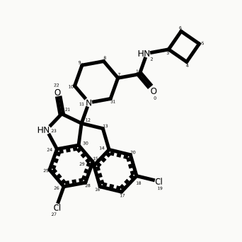 O=C(NC1CCC1)C1CCCN(C2(Cc3cccc(Cl)c3)C(=O)Nc3cc(Cl)ccc32)C1